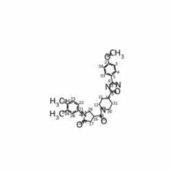 COc1ccc(-c2noc(C3CCN(C(=O)C4CC(=O)N(c5ccc(C)c(C)c5)C4)CC3)n2)cc1